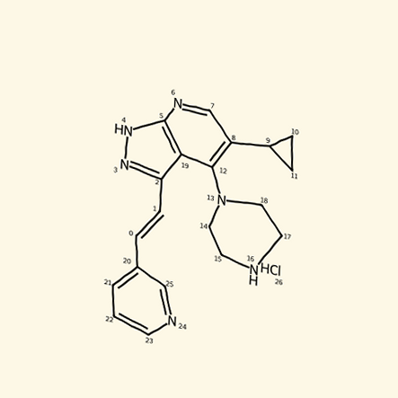 C(=Cc1n[nH]c2ncc(C3CC3)c(N3CCNCC3)c12)c1cccnc1.Cl